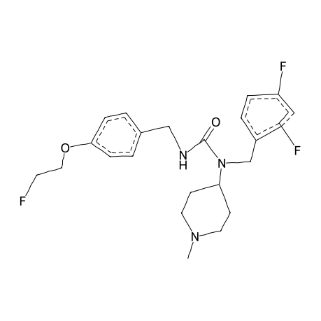 CN1CCC(N(Cc2ccc(F)cc2F)C(=O)NCc2ccc(OCCF)cc2)CC1